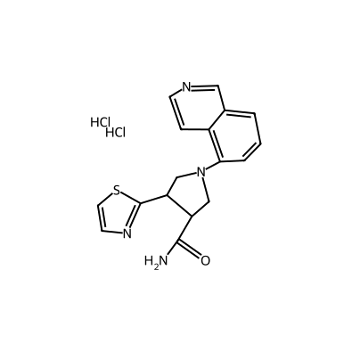 Cl.Cl.NC(=O)C1CN(c2cccc3cnccc23)CC1c1nccs1